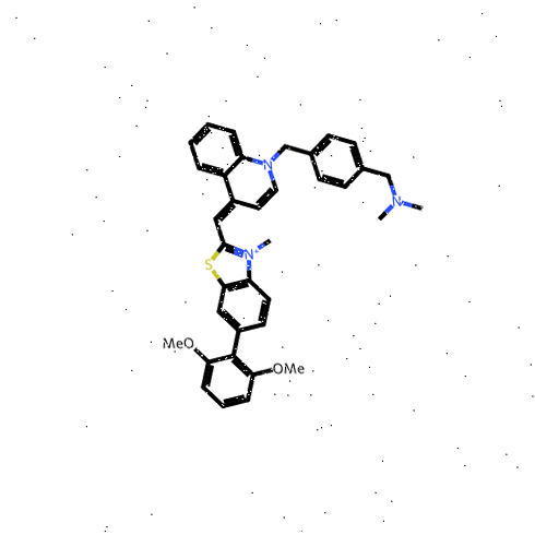 COc1cccc(OC)c1-c1ccc2c(c1)sc(C=C1C=CN(Cc3ccc(CN(C)C)cc3)c3ccccc31)[n+]2C